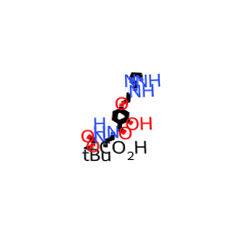 CC(C)(C)COC(=O)NC(CNC(=O)c1ccc(OCCNC2=NCCN2)cc1O)C(=O)O